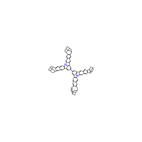 c1c2c(cc3cc4c5cc(-c6cc7c8cc9cc%10c(cc9cc8n8c9cc%11cc%12c(cc%11cc9c(c6)c78)C6CC7CC8CC%12C78C6)C6CC7CC8CC%10CC876)cc6c7cc8cc9c(cc8cc7n(c4cc13)c56)C1CC3CC9CC1C3)C1CC3CC4C(C2)CC34C1